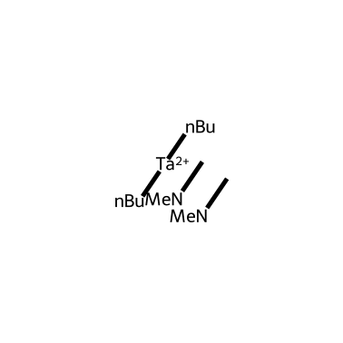 CCC[CH2][Ta+2][CH2]CCC.C[N-]C.C[N-]C